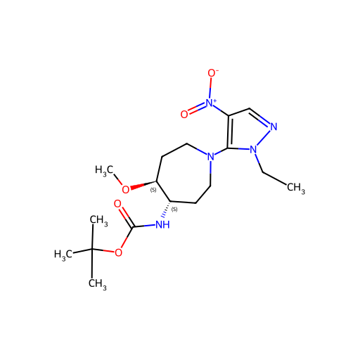 CCn1ncc([N+](=O)[O-])c1N1CC[C@H](NC(=O)OC(C)(C)C)[C@@H](OC)CC1